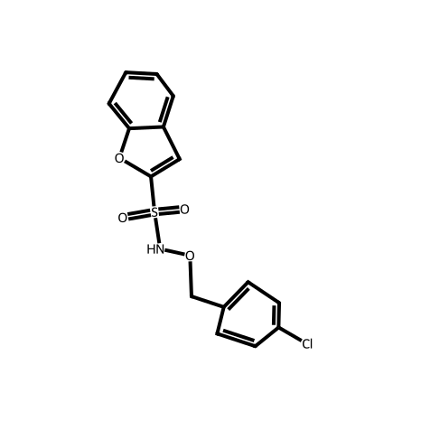 O=S(=O)(NOCc1ccc(Cl)cc1)c1cc2ccccc2o1